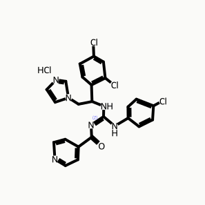 Cl.O=C(/N=C(\Nc1ccc(Cl)cc1)NC(Cn1ccnc1)c1ccc(Cl)cc1Cl)c1ccncc1